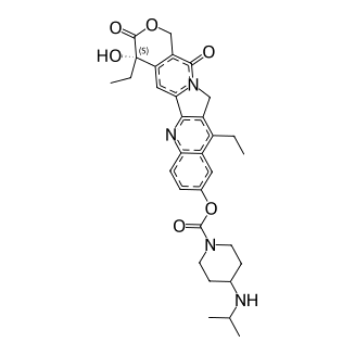 CCc1c2c(nc3ccc(OC(=O)N4CCC(NC(C)C)CC4)cc13)-c1cc3c(c(=O)n1C2)COC(=O)[C@]3(O)CC